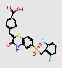 O=C1Nc2cc(S(=O)(=O)Cc3c(F)cccc3F)ccc2SC1=Cc1ccc(C(=O)O)cc1